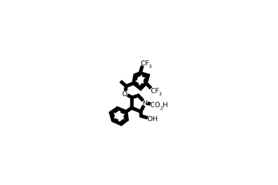 CC(OC1CN(C(=O)O)C(CO)C1c1ccccc1)c1cc(C(F)(F)F)cc(C(F)(F)F)c1